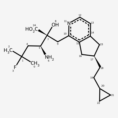 CC(C)(F)C[C@H](N)[C@](O)(Cc1nccc2c1C[C@H](CCC1CC1)C2)C(=O)O